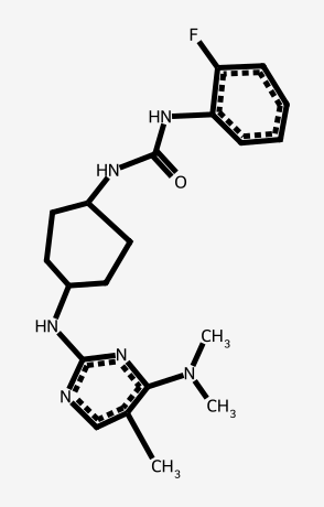 Cc1cnc(NC2CCC(NC(=O)Nc3ccccc3F)CC2)nc1N(C)C